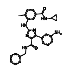 Cc1ccc(C(=O)NC2CC2)cc1Nc1nc(-c2cccc(N)c2)c(C(=O)NCc2ccccc2)s1